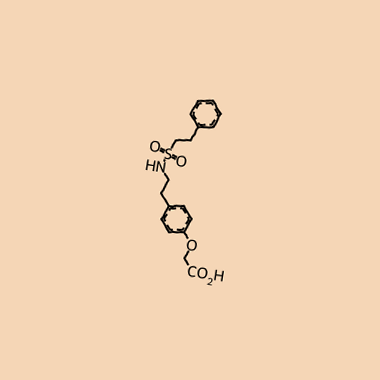 O=C(O)COc1ccc(CCNS(=O)(=O)CCc2ccccc2)cc1